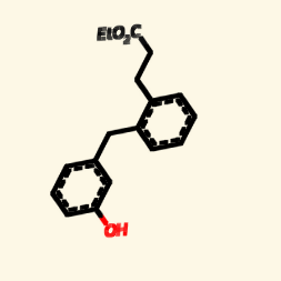 CCOC(=O)CCc1ccccc1Cc1cccc(O)c1